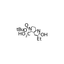 CCc1cc2c(nc1O)CCN(C(=O)OC(C)(C)C)C2C(=O)O